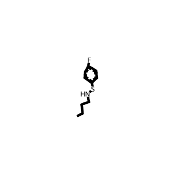 CCCCNSc1ccc(F)cc1